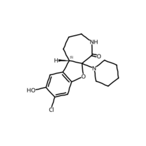 O=C1NCCC[C@H]2c3cc(O)c(Cl)cc3OC12N1CCCCC1